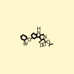 COCc1c(C(=O)OC(C)C)ncc2[nH]c3ccc(Oc4ccccc4Br)cc3c12